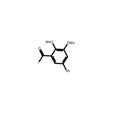 COc1cc(C(C)C)cc(C(=O)I)c1OC